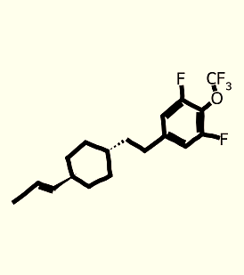 C/C=C/[C@H]1CC[C@H](CCc2cc(F)c(OC(F)(F)F)c(F)c2)CC1